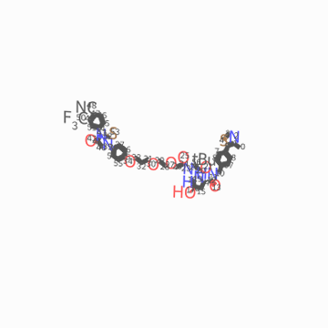 Cc1ncsc1-c1ccc(CNC(=O)[C@@H]2C[C@@H](O)CN2C(=O)C(NC(=O)COCCOCCCOc2ccc(N3CC(=O)N(c4ccc(C#N)c(C(F)(F)F)c4)C3=S)cc2)C(C)(C)C)cc1